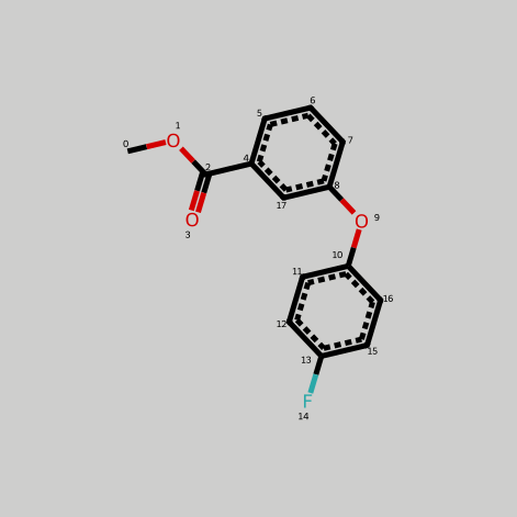 COC(=O)c1cccc(Oc2ccc(F)cc2)c1